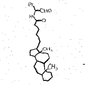 CC(C)C(C=O)NC(=O)CCCCC1CCC2C3CCC4CCCCC4(C)C3CCC12C